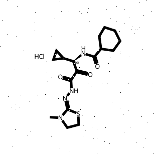 CN1CCSC1=NNC(=O)C(=O)[C@H](NC(=O)C1CCCCC1)C1CC1.Cl